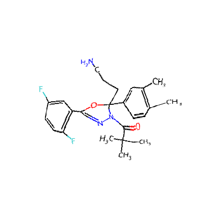 Cc1ccc(C2(CCCN)OC(c3cc(F)ccc3F)=NN2C(=O)C(C)(C)C)cc1C